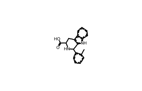 Cc1ccccc1C1NC(C(=O)O)Cc2c1[nH]c1ccccc21